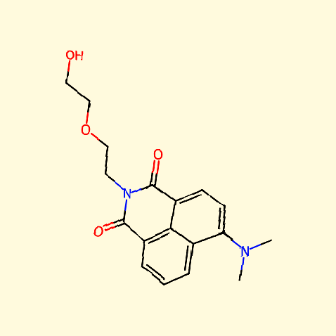 CN(C)c1ccc2c3c(cccc13)C(=O)N(CCOCCO)C2=O